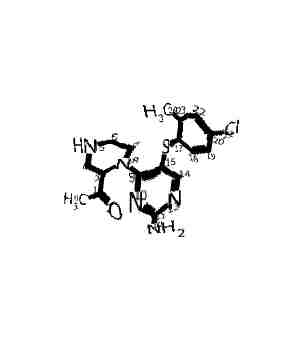 CC(=O)C1CNCCN1c1nc(N)ncc1Sc1ccc(Cl)cc1C